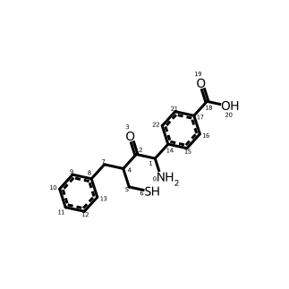 NC(C(=O)C(CS)Cc1ccccc1)c1ccc(C(=O)O)cc1